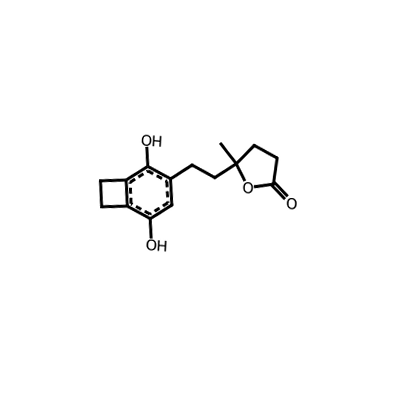 CC1(CCc2cc(O)c3c(c2O)CC3)CCC(=O)O1